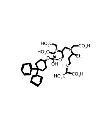 CCC(CCNC(C(=O)O)C(=O)O)N(CC(=O)O)CC(COP(=O)(O)OC1CCC(c2ccccc2)(c2ccccc2)CC1)N(CC(=O)O)CC(=O)O